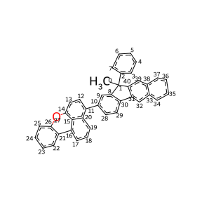 CC1(c2ccccc2)c2cc(-c3ccc4c5c(cccc35)-c3ccccc3O4)ccc2-c2cc3ccccc3cc21